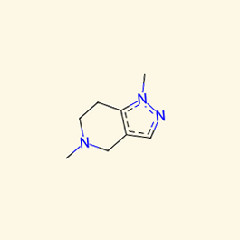 CN1CCc2c(cnn2C)C1